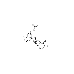 C=C(C)C(=O)OCC(=O)OC1C2OS(=O)(=O)C3CC1(COC(C)=O)CC23CCOC=O